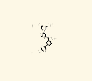 COc1cnc(-c2ccc3[nH]nc(-c4cc(N5C[C@@H](C)O[C@@H](C)C5)ncn4)c3c2)cn1